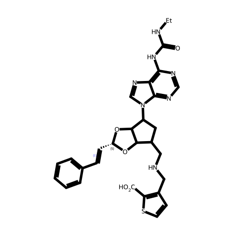 CCNC(=O)Nc1ncnc2c1ncn2C1CC(CNCc2ccsc2C(=O)O)C2O[C@H](/C=C/c3ccccc3)OC21